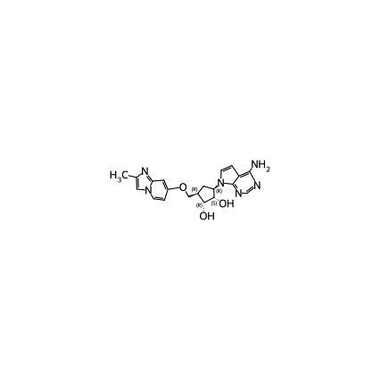 Cc1cn2ccc(OC[C@H]3C[C@@H](n4ccc5c(N)ncnc54)[C@H](O)[C@@H]3O)cc2n1